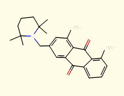 COc1cccc2c1C(=O)c1c(OC)cc(CN3C(C)(C)CCCC3(C)C)cc1C2=O